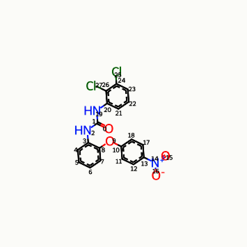 O=C(Nc1ccccc1Oc1ccc([N+](=O)[O-])cc1)Nc1cccc(Cl)c1Cl